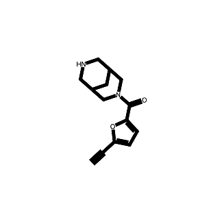 C#Cc1ccc(C(=O)N2CC3CNCC(C3)C2)o1